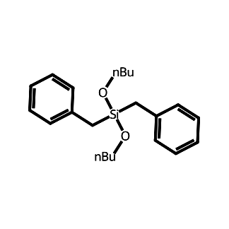 CCCCO[Si](Cc1ccccc1)(Cc1ccccc1)OCCCC